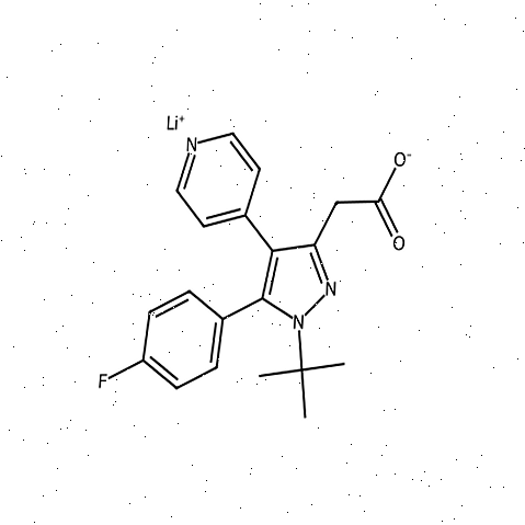 CC(C)(C)n1nc(CC(=O)[O-])c(-c2ccncc2)c1-c1ccc(F)cc1.[Li+]